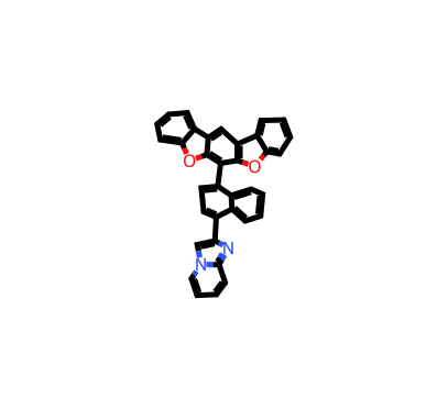 c1ccc2c(c1)oc1c(-c3ccc(-c4cn5ccccc5n4)c4ccccc34)c3oc4ccccc4c3cc12